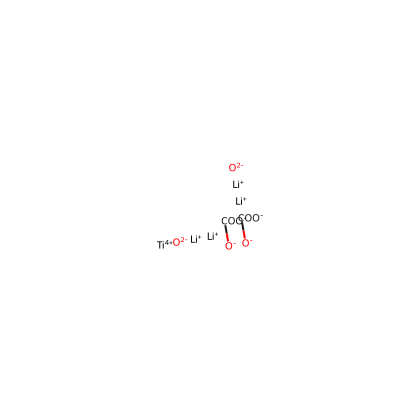 O=C([O-])[O-].O=C([O-])[O-].[Li+].[Li+].[Li+].[Li+].[O-2].[O-2].[Ti+4]